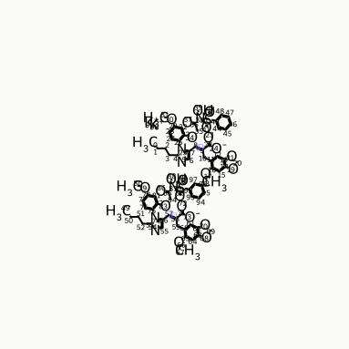 CCCCc1ncc(/C=C(\Cc2cc3c(cc2OC)OCO3)C(=O)[O-])n1-c1ccc(OC)cc1OCC(=O)N(O)S(=O)(=O)c1ccccc1.CCCCc1ncc(/C=C(\Cc2cc3c(cc2OC)OCO3)C(=O)[O-])n1-c1ccc(OC)cc1OCC(=O)N(O)S(=O)(=O)c1ccccc1.[K+].[K+]